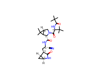 CC(C)(C)C(=O)N[C@H](C(=O)N1C[C@H]2C([C@H]1C(=O)N[C@H](C#N)C[C@H]1C(=O)N[C@H]3C[C@H]31)C2(C)C)C(C)(C)C